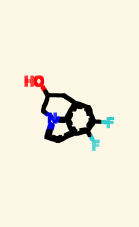 OC1Cc2cc(F)c(F)c3ccn(c23)C1